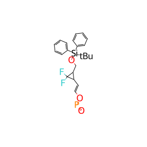 CC(C)(C)[Si](OCC1C(/C=C/OP=O)C1(F)F)(c1ccccc1)c1ccccc1